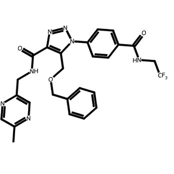 Cc1cnc(CNC(=O)c2nnn(-c3ccc(C(=O)NCC(F)(F)F)cc3)c2COCc2ccccc2)cn1